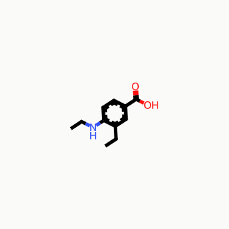 CCNc1ccc(C(=O)O)cc1CC